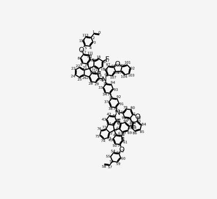 C=Cc1ccc(Oc2ccc(C3(c4c(F)cc(F)cc4F)c4ccccc4-c4ccc(N(c5ccc(-c6ccc(N(c7ccc8c(c7)C(c7ccc(OC9=CCC(C=C)C=C9)cc7)(c7c(F)cc(F)cc7F)c7ccccc7-8)c7ccc8oc9ccccc9c8c7)cc6)cc5)c5ccc6oc7ccccc7c6c5)cc43)cc2)cc1